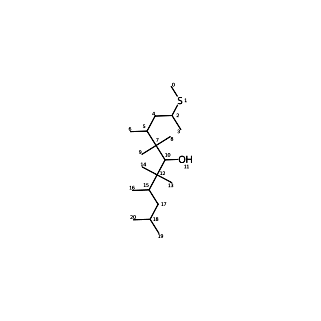 CSC(C)CC(C)C(C)(C)C(O)C(C)(C)C(C)CC(C)C